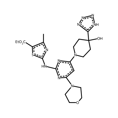 CCOC(=O)c1sc(Nc2nc(N3CCOCC3)cc(N3CCC(O)(c4nnn[nH]4)CC3)n2)nc1C